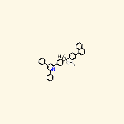 CC(C)(c1ccc(-c2cc(-c3ccccc3)cc(-c3ccccc3)n2)cc1)c1ccc(-c2cccc3ccccc23)cc1